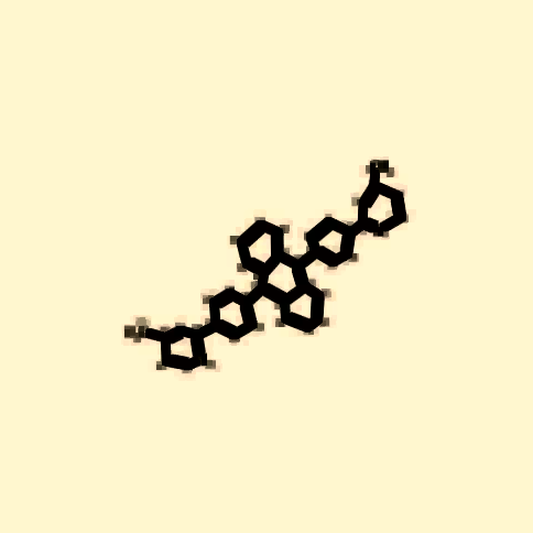 Cc1ccnc(-c2ccc(-c3c4ccccc4c(-c4ccc(-c5cc(C)ccn5)cc4)c4ccccc34)cc2)c1